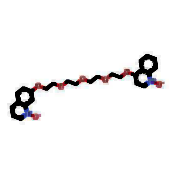 [O-][n+]1cccc2ccc(OCCOCCOCCOCCOc3cc[n+]([O-])c4ccccc34)cc21